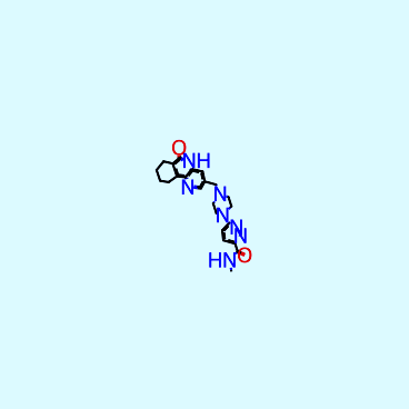 CNC(=O)c1ccc(N2CCN(Cc3cnc4c5c(c(=O)[nH]c4c3)CCCC5)CC2)nn1